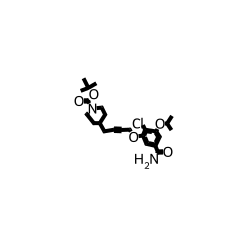 CC(C)Oc1cc(C(N)=O)cc(OCC#CCC2CCN(C(=O)OC(C)(C)C)CC2)c1Cl